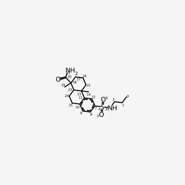 CCCNS(=O)(=O)c1ccc2c(c1)C1(C)CCCC(C)(C(N)=O)C1CC2